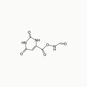 O=CNOC(=O)c1cc(=O)[nH]c(=O)[nH]1